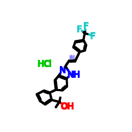 CC(C)(O)c1ccccc1-c1ccc2[nH]c(/C=C/c3ccc(C(F)(F)F)cc3)nc2c1.Cl